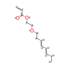 C=CC(=O)OCCOCC/C=C/C=C/CC